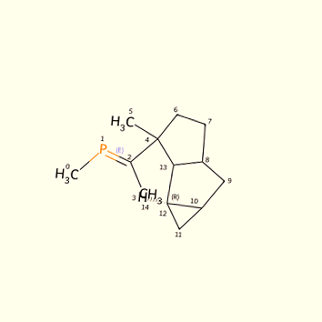 C/P=C(\C)C1(C)CCC2CC3C[C@H]3C21